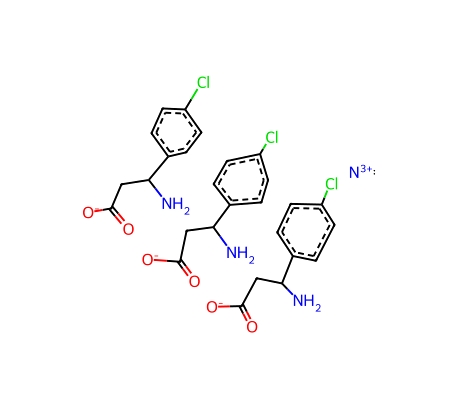 NC(CC(=O)[O-])c1ccc(Cl)cc1.NC(CC(=O)[O-])c1ccc(Cl)cc1.NC(CC(=O)[O-])c1ccc(Cl)cc1.[N+3]